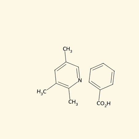 Cc1cnc(C)c(C)c1.O=C(O)c1ccccc1